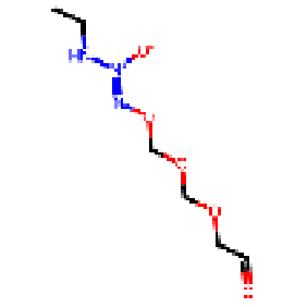 CCN[N+]([O-])=NOCOCOCC=O